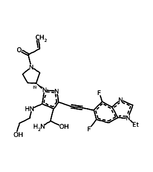 C=CC(=O)N1CC[C@H](n2nc(C#Cc3c(F)cc4c(ncn4CC)c3F)c(C(N)O)c2NCCO)C1